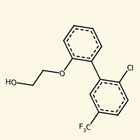 OCCOc1ccccc1-c1cc(C(F)(F)F)ccc1Cl